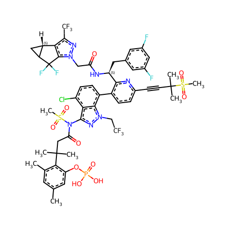 Cc1cc(C)c(C(C)(C)CC(=O)N(c2nn(CC(F)(F)F)c3c(-c4ccc(C#CC(C)(C)S(C)(=O)=O)nc4[C@H](Cc4cc(F)cc(F)c4)NC(=O)Cn4nc(C(F)(F)F)c5c4C(F)(F)C4C[C@H]54)ccc(Cl)c23)S(C)(=O)=O)c(OP(=O)(O)O)c1